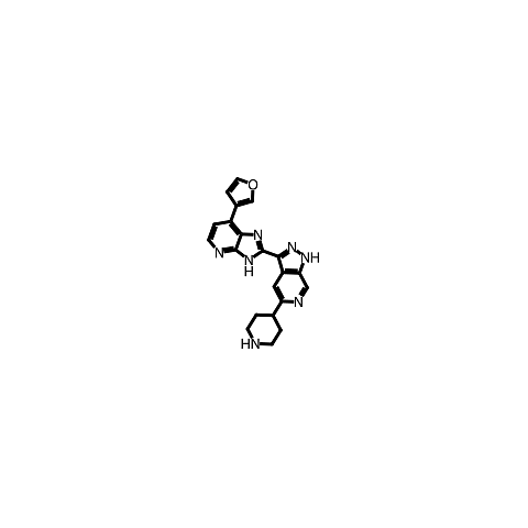 c1cc(-c2ccoc2)c2nc(-c3n[nH]c4cnc(C5CCNCC5)cc34)[nH]c2n1